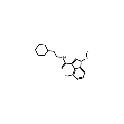 CCOn1cc(C(=O)NCCC2CCCCC2)c2c(Cl)cccc21